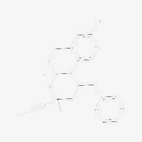 CC#CC1(O)CC(Cc2ccccc2)C2c3ccc(O)cc3CC[C@@H]2C1